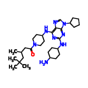 CC(CC(=O)N1CCC(Nc2nc(NC3CCC(N)CC3)nc3c2ncn3C2CCCC2)CC1)CC(C)(C)C